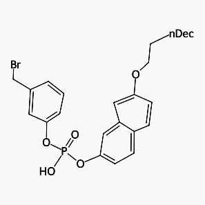 CCCCCCCCCCCCOc1ccc2ccc(OP(=O)(O)Oc3cccc(CBr)c3)cc2c1